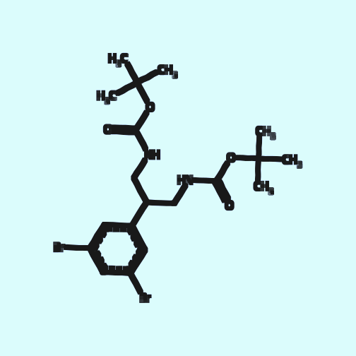 CC(C)(C)OC(=O)NCC(CNC(=O)OC(C)(C)C)c1cc(Br)cc(Br)c1